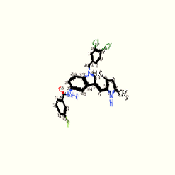 Cc1cc(C)c(C=C2CN(Cc3ccc(Cl)c(Cl)c3)c3ccc(NC(=O)c4cccc(F)c4)cc32)[nH]1